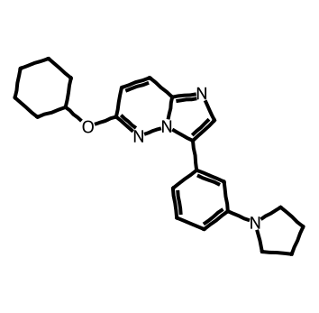 c1cc(-c2cnc3ccc(OC4CCCCC4)nn23)cc(N2CCCC2)c1